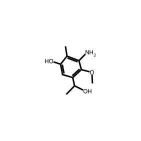 COc1c(C(C)O)cc(O)c(C)c1N